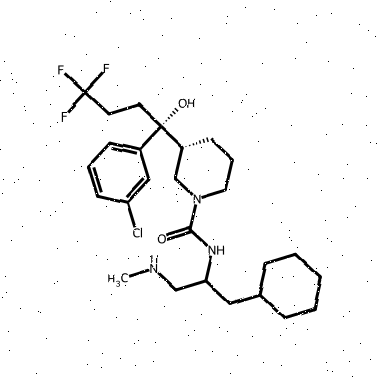 CNCC(CC1CCCCC1)NC(=O)N1CCC[C@@H]([C@](O)(CCC(F)(F)F)c2cccc(Cl)c2)C1